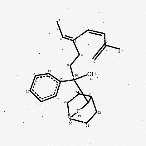 C=C(C)/C=C\C(=C/C)CCC(O)(c1ccccc1)C1CN2CCC1CC2